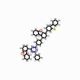 c1ccc(-c2nc(-c3ccc(-c4ccc(-c5ccc6c(c5)sc5ccccc56)c5oc6ccccc6c45)cc3)nc(-c3cccc4oc5ccccc5c34)n2)cc1